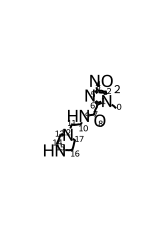 Cn1cc([N+](=O)[O-])nc1C(=O)NCCN1CCNCC1